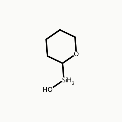 O[SiH2]C1CCCCO1